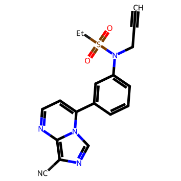 C#CCN(c1cccc(-c2ccnc3c(C#N)ncn23)c1)S(=O)(=O)CC